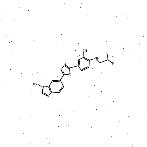 CC(C)(C)n1cnc2ccc(-c3nnc(-c4ccc(NCC(F)F)c(C#N)c4)o3)cc21